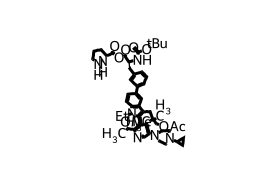 CCn1c(-c2cc(N3CCN(C4CC4)CC3)cnc2[C@H](C)OC)c(CC(C)(C)COC(C)=O)c2cc(-c3cccc(C[C@H](NC(=O)OC(C)(C)C)C(=O)OC(=O)C4CCCNN4)c3)ccc21